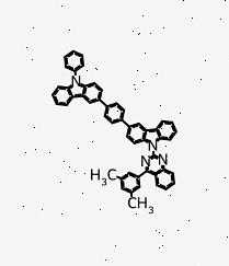 Cc1cc(C)cc(-c2nc(-n3c4ccccc4c4cc(-c5ccc(-c6ccc7c(c6)c6ccccc6n7-c6ccccc6)cc5)ccc43)nc3ccccc23)c1